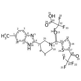 Cc1ccc2nc(C3CCCN(C(=O)c4ccc(C(=O)C(F)(F)F)s4)C3)[nH]c2c1.O=C(O)C(F)(F)F